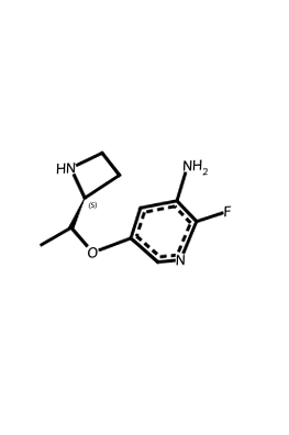 CC(Oc1cnc(F)c(N)c1)[C@@H]1CCN1